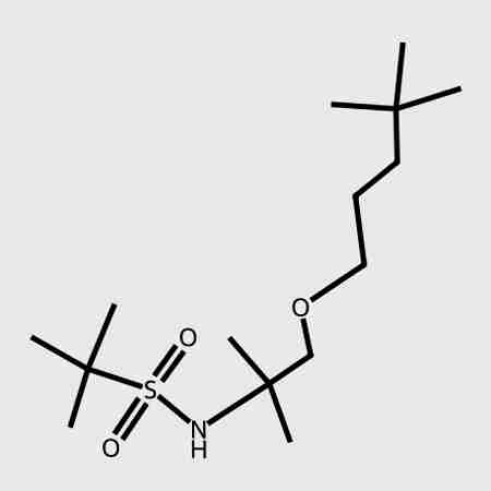 CC(C)(C)CCCOCC(C)(C)NS(=O)(=O)C(C)(C)C